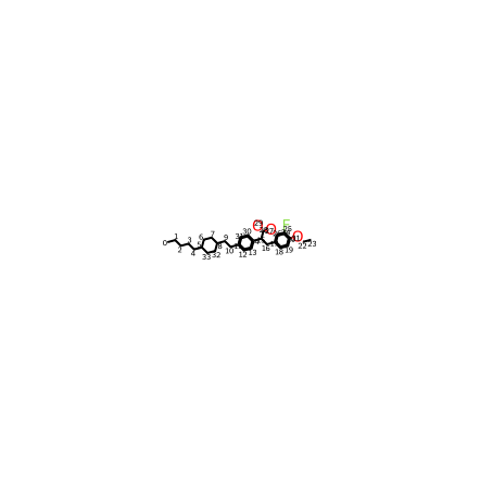 CCCCCC1CCC(CCc2ccc(C3Cc4ccc(OCC)c(F)c4OC3=O)cc2)CC1